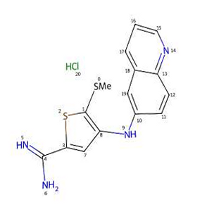 CSc1sc(C(=N)N)cc1Nc1ccc2ncccc2c1.Cl